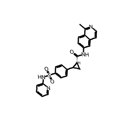 Cc1nccc2cc(NC(=O)[C@@H]3CC3c3ccc(S(=O)(=O)Nc4ccccn4)cc3)ccc12